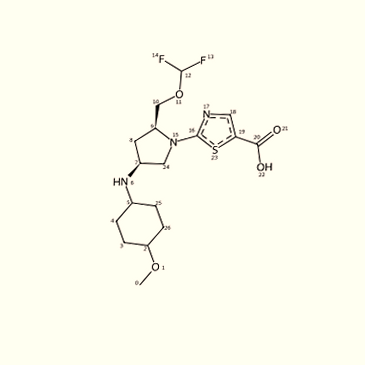 COC1CCC(N[C@H]2C[C@@H](COC(F)F)N(c3ncc(C(=O)O)s3)C2)CC1